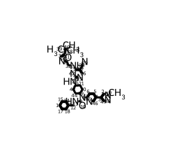 Cn1cc(-c2ccc(N(C(=O)NCc3ccccc3)[C@H]3CC[C@H](Nc4ncc(C#N)c(NCc5ncc(C(C)(C)C)o5)n4)CC3)nc2)cn1